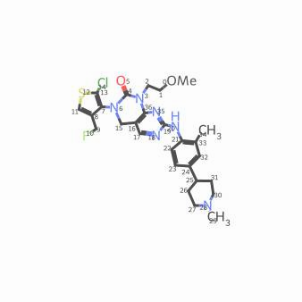 COCCN1C(=O)N(c2c(CF)csc2Cl)Cc2cnc(Nc3ccc(C4CCN(C)CC4)cc3C)nc21